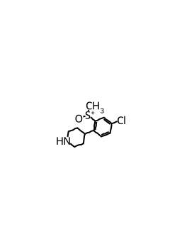 C[S+]([O-])c1cc(Cl)ccc1C1CCNCC1